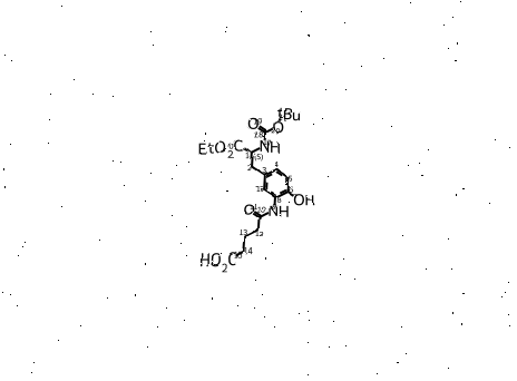 CCOC(=O)[C@H](Cc1ccc(O)c(NC(=O)CCCC(=O)O)c1)NC(=O)OC(C)(C)C